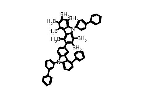 Bc1c(B)c(B)c2c(c1B)c1c(B)c(-c3ccc4c(c3)c3c(-c5ccccc5)cccc3n4-c3cccc(-c4ccccc4)c3)c(B)c(B)c1n2-c1ccc(-c2ccccc2)cc1